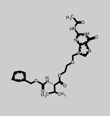 CC(=O)Nc1nc2c(ncn2COCCOC(=O)[C@@H](NC(=O)OCc2ccccc2)C(C)C)c(=O)[nH]1